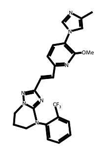 COc1nc(C=Cc2nc3n(n2)CCCN3c2ccccc2C(F)(F)F)ccc1-n1cnc(C)c1